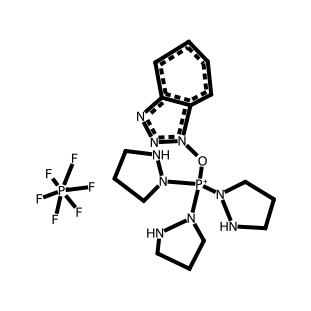 F[P-](F)(F)(F)(F)F.c1ccc2c(c1)nnn2O[P+](N1CCCN1)(N1CCCN1)N1CCCN1